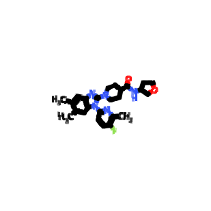 Cc1cc2nc(N3CCC(C(=O)NC4CCOC4)CC3)n(-c3ccc(F)c(C)n3)c2cc1C